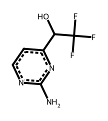 Nc1nccc(C(O)C(F)(F)F)n1